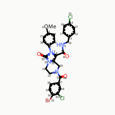 COc1ccc(-n2c(C(=O)NCc3ccc(Cl)cc3)c3n(c2=O)CCN(C(=O)c2ccc(Br)c(Cl)c2)C3)cc1